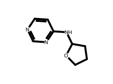 [c]1nccc(NC2CCCO2)n1